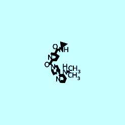 CC(C)Nc1cccnc1N1CCN(C(=O)c2ccc(C(=O)NC3CC3)cn2)CC1